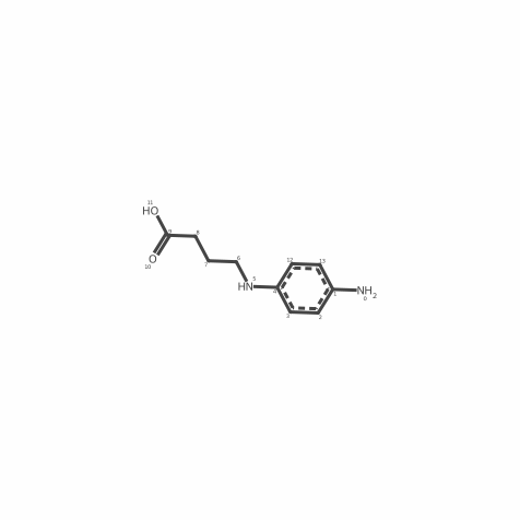 Nc1ccc(NCCCC(=O)O)cc1